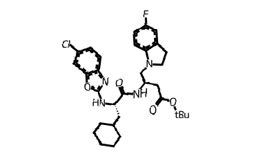 CC(C)(C)OC(=O)CC(CN1CCc2cc(F)ccc21)NC(=O)[C@H](CC1CCCCC1)Nc1nc2ccc(Cl)cc2o1